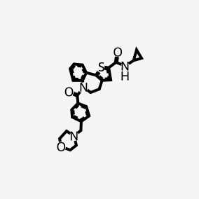 O=C(NC1CC1)c1cc2c(s1)-c1ccccc1N(C(=O)c1ccc(CN3CCOCC3)cc1)CC2